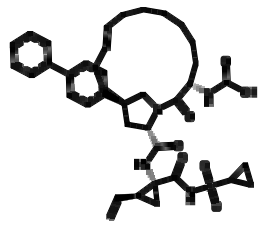 C=C[C@@H]1C[C@]1(NC(=O)[C@@H]1C[C@@]2(c3ccc(-c4ccccc4)cc3)CN1C(=O)[C@@H](NC(=O)O)CCCCCC/C=C/CS2)C(=O)NS(=O)(=O)C1CC1